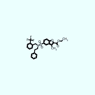 CCOC(=O)c1oc2ccc(S(=O)(=O)N(CCc3ccccc3)Cc3ccccc3C(F)(F)F)cc2c1C